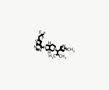 CC(C)C(c1cnn(C)c1)N1CC[C@@H]2CN(c3ncnc4sc(CC(F)(F)F)cc34)C[C@@H]2C1